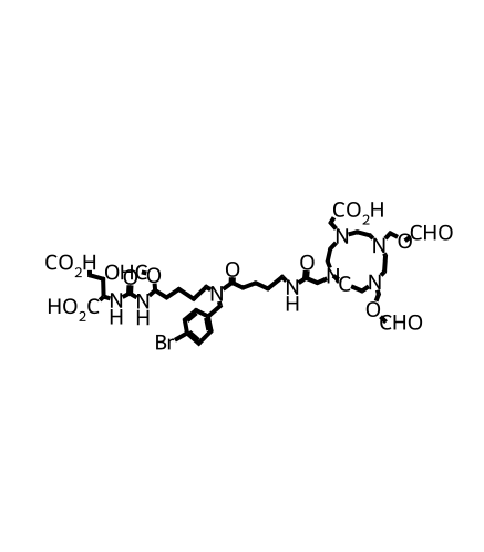 O=COCN1CCN(COC=O)CCN(CC(=O)NCCCCC(=O)N(CCCCC(NC(=O)NC(CCC(=O)O)C(=O)O)OC=O)Cc2ccc(Br)cc2)CCN(CC(=O)O)CC1